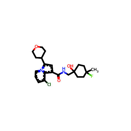 CC1(F)CCC(O)(CNC(=O)c2cc(C3CCOCC3)n3cccc(Cl)c23)CC1